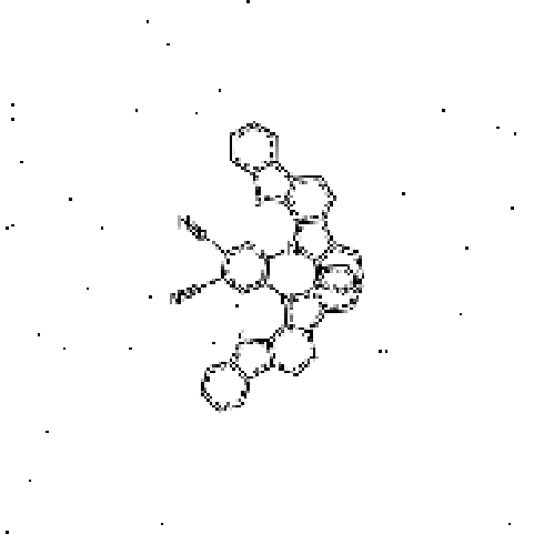 N#Cc1cc(-n2c3ccccc3c3ccc4c5ccccc5sc4c32)c(-n2c3ccccc3c3ccc4c5ccccc5sc4c32)cc1C#N